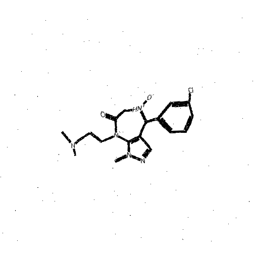 CN(C)CCN1C(=O)C[NH+]([O-])C(c2cccc(Cl)c2)c2cnn(C)c21